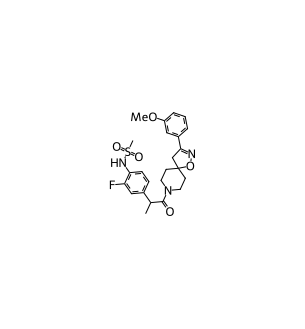 COc1cccc(C2=NOC3(CCN(C(=O)C(C)c4ccc(NS(C)(=O)=O)c(F)c4)CC3)C2)c1